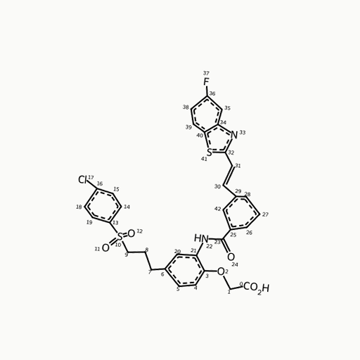 O=C(O)COc1ccc(CCCS(=O)(=O)c2ccc(Cl)cc2)cc1NC(=O)c1cccc(C=Cc2nc3cc(F)ccc3s2)c1